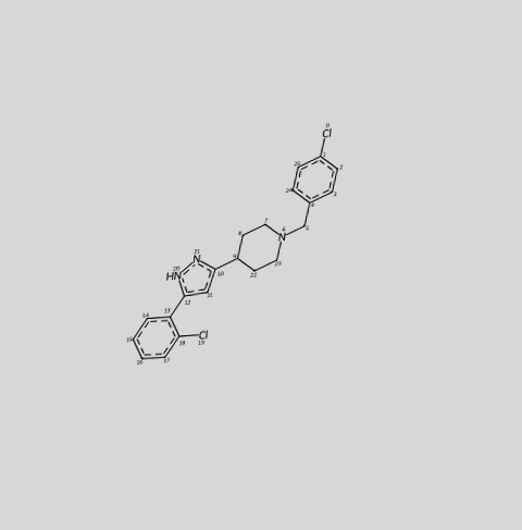 Clc1ccc(CN2CCC(c3cc(-c4ccccc4Cl)[nH]n3)CC2)cc1